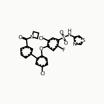 O=C(c1cccc(-c2cc(Cl)ccc2Oc2cc(F)c(S(=O)(=O)Nc3cscn3)cc2Cl)c1)N1CCC1